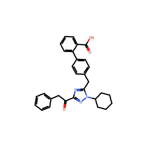 O=C(Cc1ccccc1)c1nc(Cc2ccc(-c3ccccc3C(=O)O)cc2)n(C2CCCCC2)n1